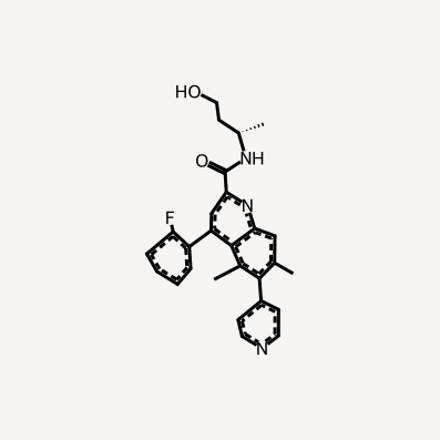 Cc1cc2nc(C(=O)N[C@@H](C)CCO)cc(-c3ccccc3F)c2c(C)c1-c1ccncc1